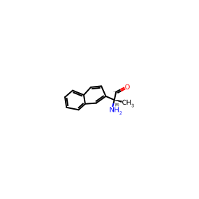 C[C@](N)([C]=O)c1ccc2ccccc2c1